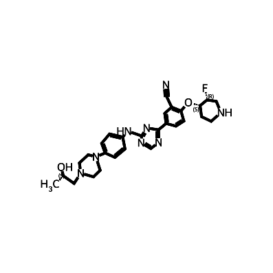 C[C@H](O)CN1CCN(c2ccc(Nc3ncnc(-c4ccc(O[C@H]5CCNC[C@H]5F)c(C#N)c4)n3)cc2)CC1